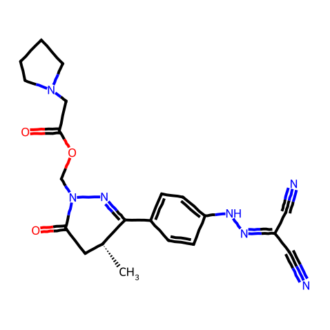 C[C@@H]1CC(=O)N(COC(=O)CN2CCCC2)N=C1c1ccc(NN=C(C#N)C#N)cc1